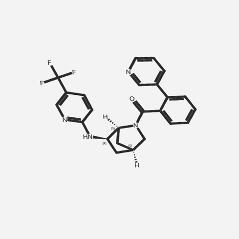 O=C(c1ccccc1-c1cccnc1)N1C[C@H]2C[C@@H](Nc3ccc(C(F)(F)F)cn3)[C@@H]1C2